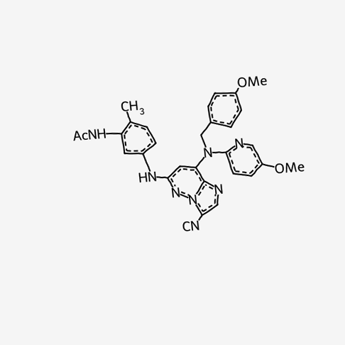 [C-]#[N+]c1cnc2c(N(Cc3ccc(OC)cc3)c3ccc(OC)cn3)cc(Nc3ccc(C)c(NC(C)=O)c3)nn12